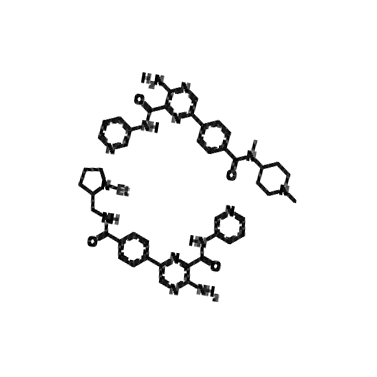 CCN1CCCC1CNC(=O)c1ccc(-c2cnc(N)c(C(=O)Nc3cccnc3)n2)cc1.CN1CCC(N(C)C(=O)c2ccc(-c3cnc(N)c(C(=O)Nc4cccnc4)n3)cc2)CC1